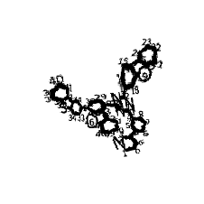 c1cncc(-c2cccc(-c3nc(-c4ccc5c(c4)oc4ccccc45)nc(-c4ccc(-c5ccc6sc7ccccc7c6c5)c5oc6ccccc6c45)n3)c2)c1